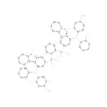 Cc1ccccc1N(c1ccc(C(C)(C)C)cc1)c1cc2c(c3c1oc1ccccc13)-c1ccc3c(c1C2(C)C)C(C)(C)c1cc(N(c2ccc(C(C)(C)C)cc2)c2ccccc2C)c2c(oc4ccccc42)c1-3